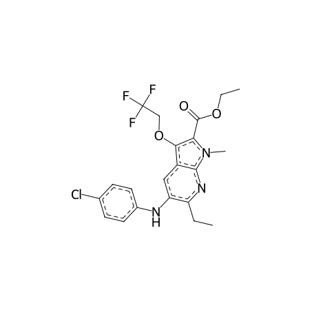 CCOC(=O)c1c(OCC(F)(F)F)c2cc(Nc3ccc(Cl)cc3)c(CC)nc2n1C